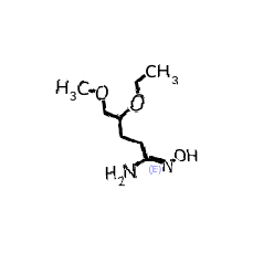 CCOC(CC/C(N)=N\O)COC